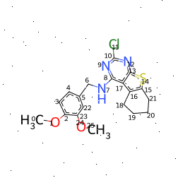 COc1ccc(CNc2nc(Cl)nc3sc4c(c23)CCCC4)cc1OC